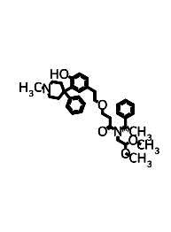 COC(CN(C(=O)CCOCCc1ccc(O)c(C2(c3ccccc3)CCN(C)CC2)c1)[C@H](C)c1ccccc1)OC